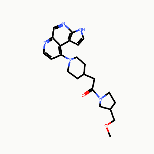 COCC1CCN(C(=O)CC2CCN(c3ccnc4cnc5[nH]ccc5c34)CC2)C1